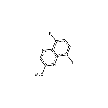 COc1cnc2c(F)ccc(I)c2n1